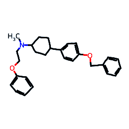 CN(CCOc1ccccc1)C1CCC(c2ccc(OCc3ccccc3)cc2)CC1